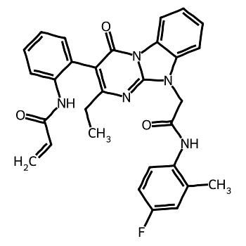 C=CC(=O)Nc1ccccc1-c1c(CC)nc2n(CC(=O)Nc3ccc(F)cc3C)c3ccccc3n2c1=O